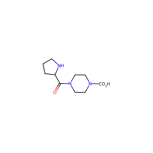 O=C(O)N1CCN(C(=O)C2CCCN2)CC1